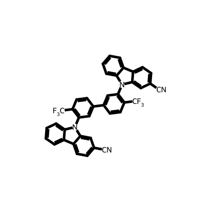 N#Cc1ccc2c3ccccc3n(-c3cc(-c4ccc(C(F)(F)F)c(-n5c6ccccc6c6ccc(C#N)cc65)c4)ccc3C(F)(F)F)c2c1